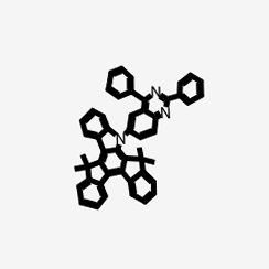 CC1(C)c2ccccc2-c2c3c(c4c(c21)c1ccccc1n4-c1ccc2nc(-c4ccccc4)nc(-c4ccccc4)c2c1)C(C)(C)c1ccccc1-3